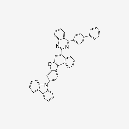 c1ccc(-c2ccc(-c3nc(-c4cc5oc6cc(-n7c8ccccc8c8ccccc87)ccc6c5c5ccccc45)nc4ccccc34)cc2)cc1